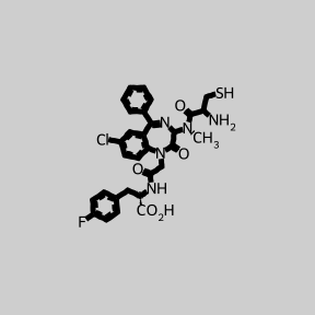 CN(C(=O)C(N)CS)C1N=C(c2ccccc2)c2cc(Cl)ccc2N(CC(=O)N[C@@H](Cc2ccc(F)cc2)C(=O)O)C1=O